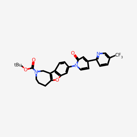 CC(C)(C)OC(=O)N1CCCc2oc3cc(-n4ccc(-c5ccc(C(F)(F)F)cn5)cc4=O)ccc3c2C1